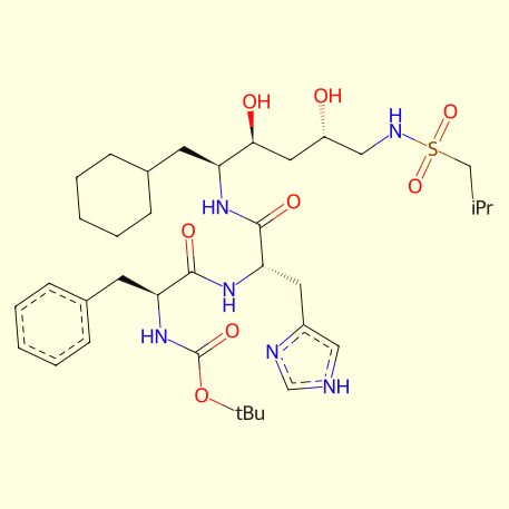 CC(C)CS(=O)(=O)NC[C@@H](O)C[C@H](O)[C@H](CC1CCCCC1)NC(=O)[C@H](Cc1c[nH]cn1)NC(=O)[C@H](Cc1ccccc1)NC(=O)OC(C)(C)C